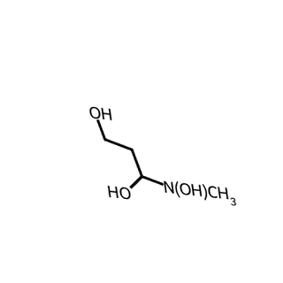 CN(O)C(O)CCO